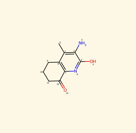 Cc1c(N)c(O)nc2c1CCCC2=O